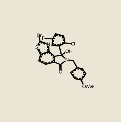 COc1ccc(CN2C(=O)c3ccc4sc(Br)nc4c3C2(O)c2cc(F)ccc2Cl)cc1